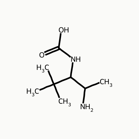 CC(N)C(NC(=O)O)C(C)(C)C